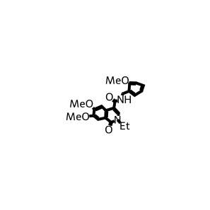 CCn1cc(C(=O)NCc2ccccc2OC)c2cc(OC)c(OC)cc2c1=O